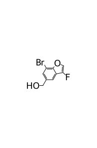 OCc1cc(Br)c2occ(F)c2c1